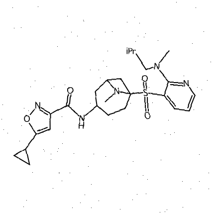 CC(C)CN(C)c1ncccc1S(=O)(=O)C12CCC(NC(=O)c3cc(C4CC4)on3)CC(C1)N2C